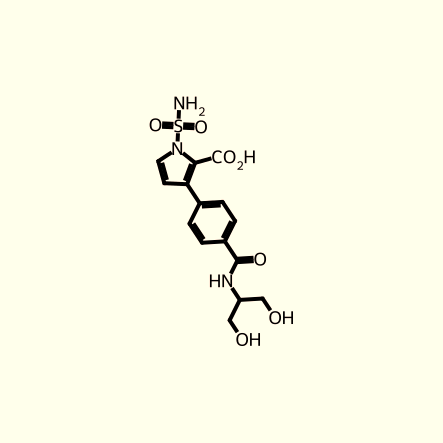 NS(=O)(=O)n1ccc(-c2ccc(C(=O)NC(CO)CO)cc2)c1C(=O)O